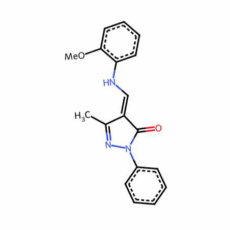 COc1ccccc1NC=C1C(=O)N(c2ccccc2)N=C1C